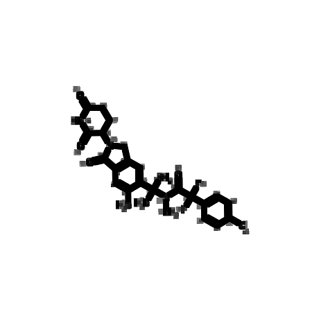 Bc1cc2c(cc1C(B)(B)N(B)C(=O)C(F)(F)c1ccc(Cl)cc1)CN(C1CCC(=O)NC1=O)C2=O